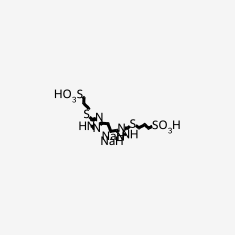 O=S(=O)(O)CCCSc1nc(CCc2n[nH]c(SCCCS(=O)(=O)O)n2)n[nH]1.[NaH].[NaH]